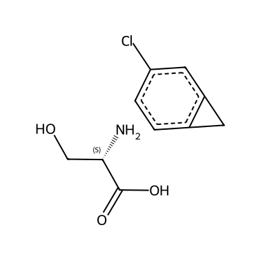 Clc1ccc2c(c1)C2.N[C@@H](CO)C(=O)O